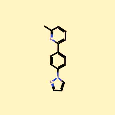 Cc1c[c]cc(-c2ccc(-n3cccn3)cc2)n1